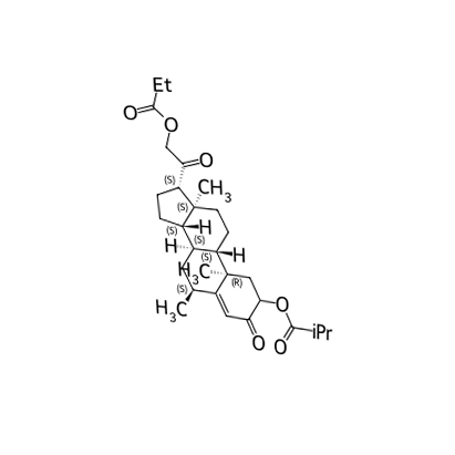 CCC(=O)OCC(=O)[C@H]1CC[C@H]2[C@@H]3C[C@H](C)C4=CC(=O)C(OC(=O)C(C)C)C[C@]4(C)[C@H]3CC[C@]12C